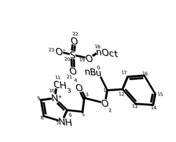 CCCCC(OC(=O)Cc1[nH]cc[n+]1C)c1ccccc1.CCCCCCCCOS(=O)(=O)[O-]